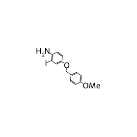 COc1ccc(COc2ccc(N)c(I)c2)cc1